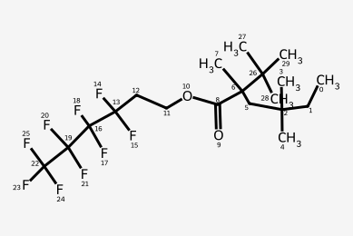 CCC(C)(C)CC(C)(C(=O)OCCC(F)(F)C(F)(F)C(F)(F)C(F)(F)F)C(C)(C)C